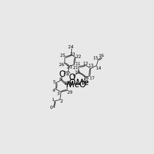 C=CCc1ccc(OC(Oc2ccc(CC=C)cc2OC)c2ccc(C)cc2)c(OC)c1